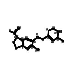 CC(=O)N1CCc2cc(Br)c(OCC3=CC(C)NCC3)cc21